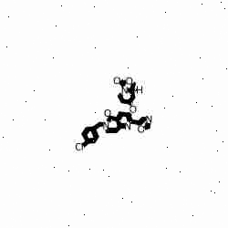 O=C1OC[C@@H]2C[C@@H](Oc3cc4c(=O)n(Cc5ccc(Cl)cc5)ccc4nc3-c3cnco3)CCN12